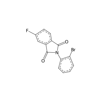 O=C1c2ccc(F)cc2C(=O)N1c1ccccc1Br